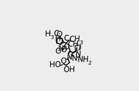 COc1ccc([N+](=O)[O-])c(C(OCc2cn([C@H]3C[C@@H](O)[C@@H](CO)O3)c3nc(N)nc(Cl)c23)C(C)(C)C)c1